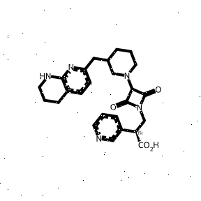 O=C(O)[C@H](CN1C(=O)C(N2CCCC(Cc3ccc4c(n3)NCCC4)C2)C1=O)c1cccnc1